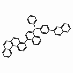 c1ccc(N(c2ccc(-c3ccc4ccccc4c3)cc2)c2ccc(-c3cccc4c3ccc3ccc5ccccc5c34)c3ccccc23)cc1